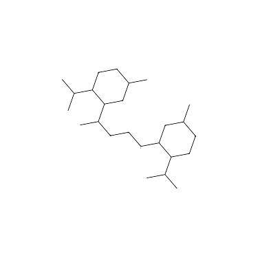 CC1CCC(C(C)C)C([CH]CCC(C)C2CC(C)CCC2C(C)C)C1